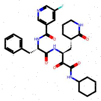 O=C(NC1CCCCC1)C(=O)[C@H](C[C@@H]1CCCNC1=O)NC(=O)[C@H](Cc1ccccc1)NC(=O)c1cncc(F)c1